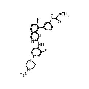 C=CC(=O)Nc1cccc(-c2c(F)ccc3cnc(Nc4ccc(N5CCN(C)CC5)cc4F)nc23)c1